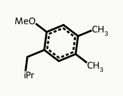 COc1cc(C)c(C)cc1CC(C)C